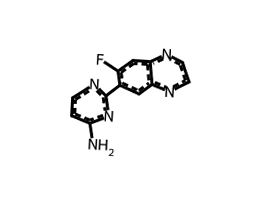 Nc1ccnc(-c2cc3nccnc3cc2F)n1